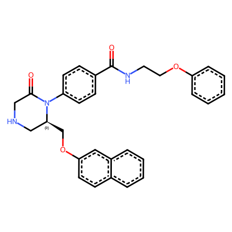 O=C(NCCOc1ccccc1)c1ccc(N2C(=O)CNC[C@@H]2COc2ccc3ccccc3c2)cc1